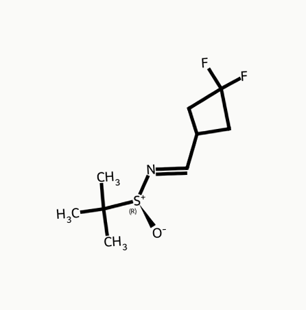 CC(C)(C)[S@+]([O-])N=CC1CC(F)(F)C1